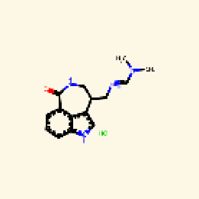 CN(C)/C=N/CC1CNC(=O)c2cccc3[nH]cc1c23.Cl